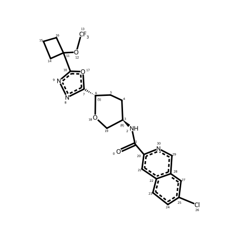 O=C(N[C@@H]1CC[C@@H](c2nnc(C3(OC(F)(F)F)CCC3)o2)OC1)c1cc2ccc(Cl)cc2cn1